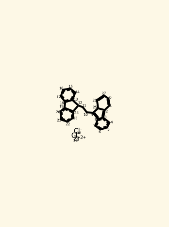 C1=CC2=c3ccccc3=C(CCC3c4ccccc4-c4ccccc43)C2C=C1.[Cl-].[Cl-].[Zr+2]